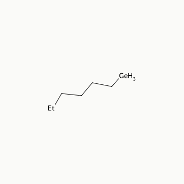 CCCCC[CH2][GeH3]